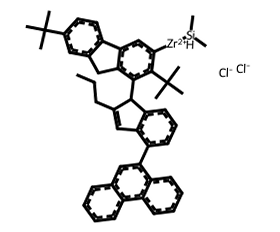 CCCC1=Cc2c(-c3cc4ccccc4c4ccccc34)cccc2C1c1c2c(c[c]([Zr+2][SiH](C)C)c1C(C)(C)C)-c1ccc(C(C)(C)C)cc1C2.[Cl-].[Cl-]